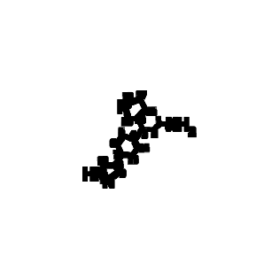 NCCC(c1ccc(-c2cn[nH]c2)cc1)c1cccnc1